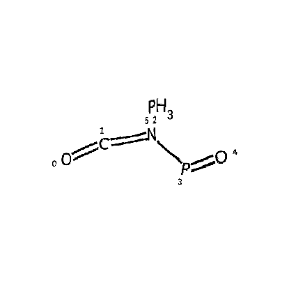 O=C=NP=O.P